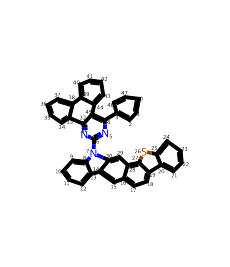 c1ccc(-c2nc(-n3c4ccccc4c4cc5ccc6c7ccccc7sc6c5cc43)nc3c4ccccc4c4ccccc4c23)cc1